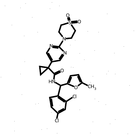 Cc1ccc(C(NC(=O)C2(c3cnc(N4CCS(=O)(=O)CC4)nc3)CC2)c2ccc(Cl)cc2Cl)o1